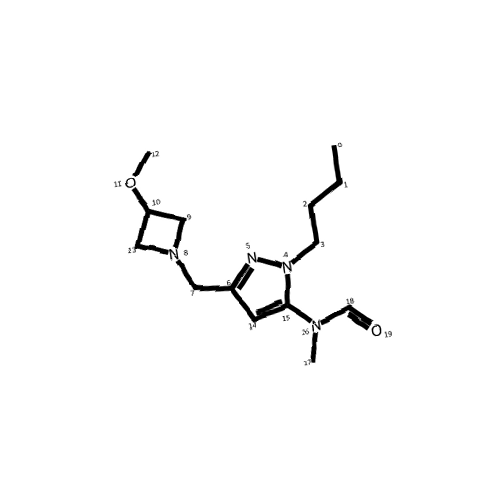 CCCCn1nc(CN2CC(OC)C2)cc1N(C)C=O